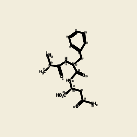 C[C@H](N)C(=O)N[C@@H](Cc1ccccc1)C(=O)N[C@@H](CC(N)=O)C(=O)O